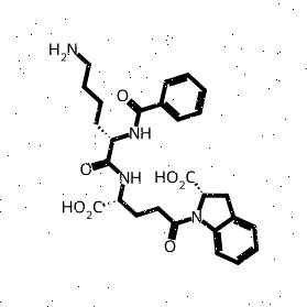 NCCCC[C@H](NC(=O)c1ccccc1)C(=O)N[C@H](CCC(=O)N1c2ccccc2C[C@H]1C(=O)O)C(=O)O